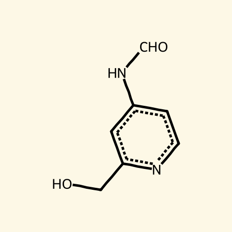 O=CNc1ccnc(CO)c1